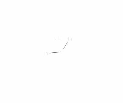 BrOBr.[SrH2]